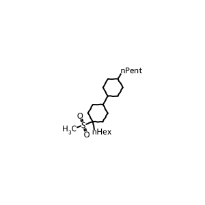 CCCCCCC1(S(C)(=O)=O)CCC(C2CCC(CCCCC)CC2)CC1